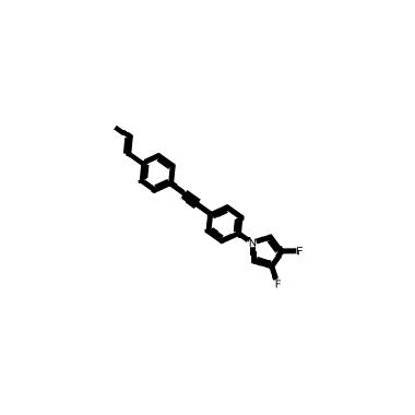 CC=Cc1ccc(C#Cc2ccc(-n3cc(F)c(F)c3)cc2)cc1